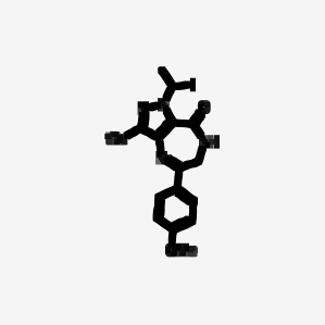 COc1ccc(C2=Nc3c(C(C)(C)C)nn(C(C)I)c3C(=O)NC2)cc1